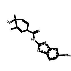 COc1ccc2nc(NC(=O)C3C=CC(C)([N+](=O)[O-])C(C)=C3)sc2c1